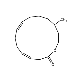 CC1CCCC=CCCC=CCC(=O)OCC1